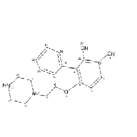 Oc1ccc(OCCN2CCNCC2)c(-c2ccccc2)c1O